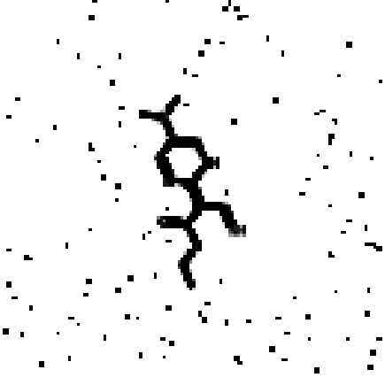 CCOC(=O)/C(C=N)=C1\N=CC(N(C)C)=CN1